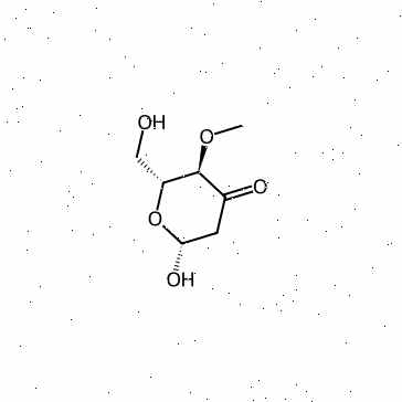 CO[C@H]1C(=O)C[C@H](O)O[C@@H]1CO